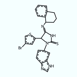 S=C1NC(=NC2CCCc3ccccc32)C(c2cc(Br)cs2)N1c1ccc2nc[nH]c2c1